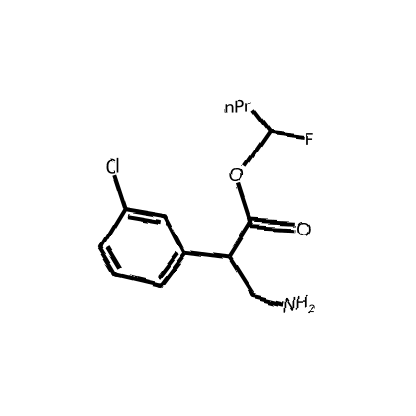 CCCC(F)OC(=O)C(CN)c1cccc(Cl)c1